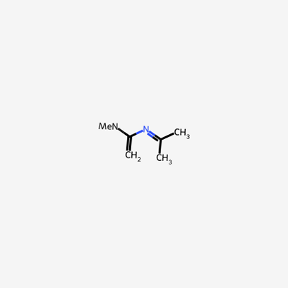 C=C(N=C(C)C)NC